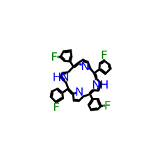 Fc1cccc(-c2c3nc(c(-c4cccc(F)c4)c4ccc([nH]4)c(-c4cccc(F)c4)c4nc(c(-c5cccc(F)c5)c5ccc2[nH]5)C=C4)C=C3)c1